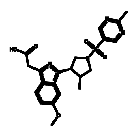 COc1ccc2c(CC(=O)O)nn([C@H]3CN(S(=O)(=O)c4cnc(C)nc4)C[C@H]3C)c2c1